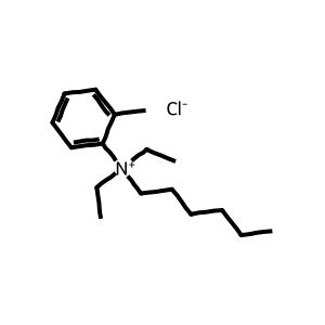 CCCCCC[N+](CC)(CC)c1ccccc1C.[Cl-]